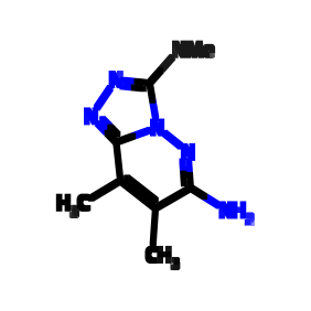 CNc1nnc2c(C)c(C)c(N)nn12